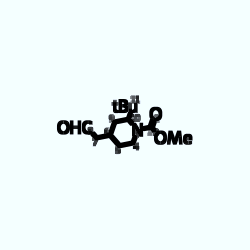 COC(=O)N1CCC(CC=O)CC1C(C)(C)C